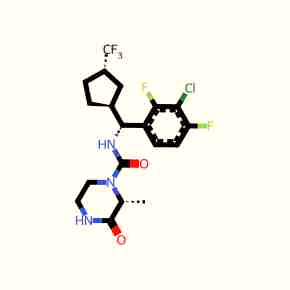 C[C@@H]1C(=O)NCCN1C(=O)N[C@@H](c1ccc(F)c(Cl)c1F)[C@H]1CC[C@H](C(F)(F)F)C1